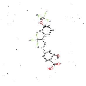 O=C(O)c1ccc(/C=C/C(c2cccc(OC(F)(F)F)c2)C(F)(F)F)cc1Br